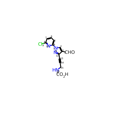 O=Cc1cn(-c2cccc(Cl)n2)nc1C#CCNC(=O)O